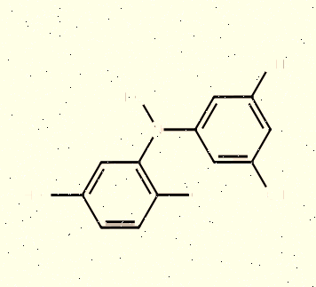 Cc1cc(C)cc(N(C)c2cc(C)ccc2C)c1